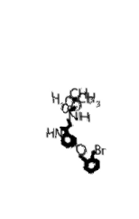 CC(C)(C)OC(=O)NCCc1c[nH]c2ccc(OCc3ccccc3CBr)cc12